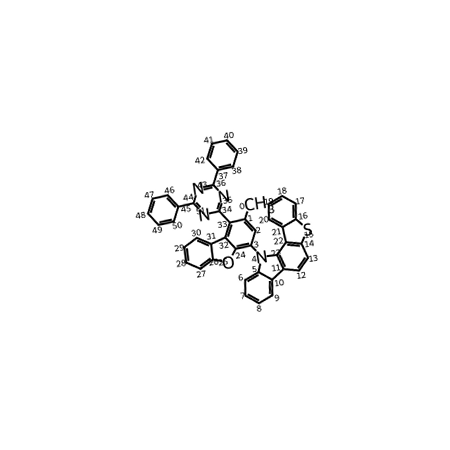 Cc1cc(-n2c3ccccc3c3ccc4sc5ccccc5c4c32)c2oc3ccccc3c2c1-c1nc(-c2ccccc2)nc(-c2ccccc2)n1